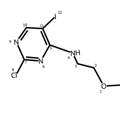 COCCNc1nc(Cl)ncc1I